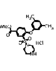 COC(=O)c1ccc(Oc2cc(C)cc(C)c2)c(S(=O)(=O)N2CCNCC2)c1.Cl